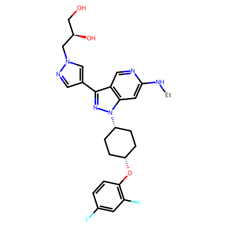 CCNc1cc2c(cn1)c(-c1cnn(C[C@H](O)CO)c1)nn2[C@H]1CC[C@@H](Oc2ccc(F)cc2F)CC1